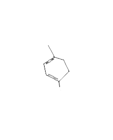 BC1=CC=C(C)CC1